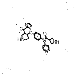 O=C(c1nccs1)C1CNCCC1Oc1ccc(N(C(=O)C2CNC2)c2ccnnc2)cc1